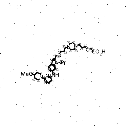 COC1CCN(c2nccc(Nc3cc4c(cn3)nc(COCCCN3CCN(CCCOCC(=O)O)CC3)n4C(C)C)n2)CC1